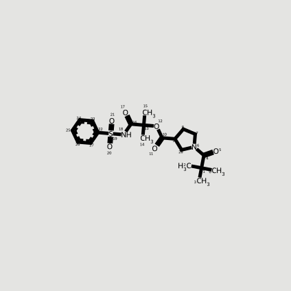 CC(C)(C)C(=O)N1CCC(C(=O)OC(C)(C)C(=O)NS(=O)(=O)c2ccccc2)C1